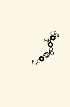 O=C(CO[C@H]1CC[C@H](Nc2ccc(Cl)c(C(F)(F)F)c2)CC1)N1CCN(c2ccc(C(F)(F)F)cc2)CC1